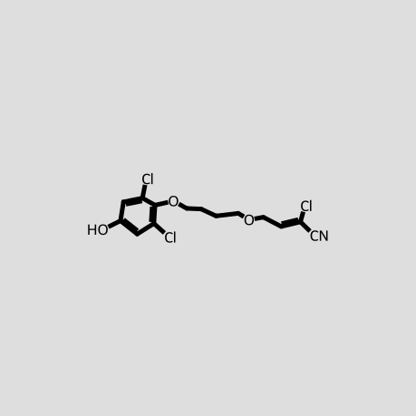 N#CC(Cl)=CCOCCCCOc1c(Cl)cc(O)cc1Cl